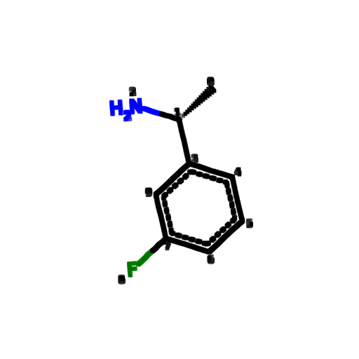 C[C@@H](N)c1cccc(F)c1